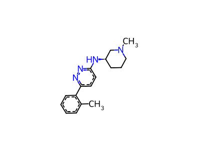 Cc1ccccc1-c1ccc(N[C@@H]2CCCN(C)C2)nn1